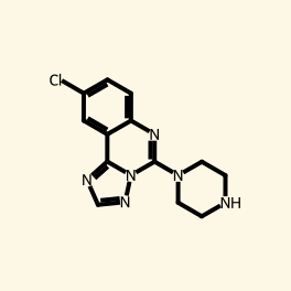 Clc1ccc2nc(N3CCNCC3)n3ncnc3c2c1